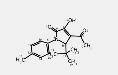 CC(=O)C1=C(O)C(=O)N(c2ccc(C)cc2)C1C(C)(C)C